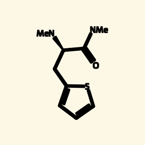 CNC(=O)[C@@H](Cc1cccs1)NC